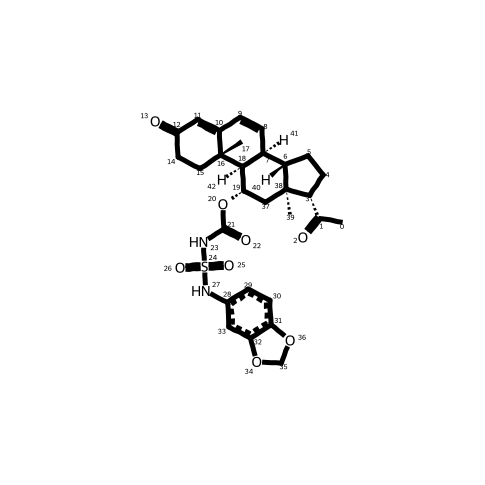 CC(=O)[C@H]1CC[C@H]2[C@@H]3C=CC4=CC(=O)CC[C@@]4(C)[C@@H]3[C@@H](OC(=O)NS(=O)(=O)Nc3ccc4c(c3)OCO4)C[C@]12C